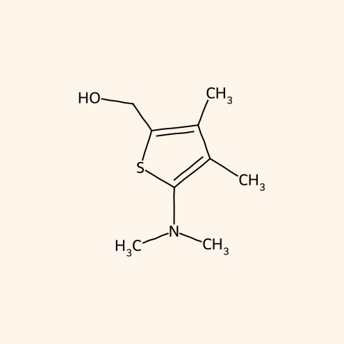 Cc1c(CO)sc(N(C)C)c1C